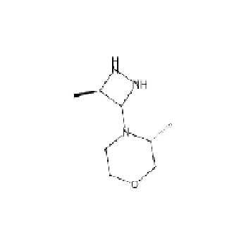 C[C@@H]1COCCN1C1NN[C@@H]1C